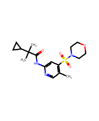 Cc1cnc(NC(=O)C(C)(C)C2CC2)cc1S(=O)(=O)N1CCOCC1